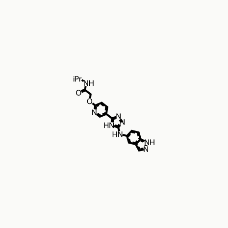 CC(C)NC(=O)COc1ccc(-c2nnc(Nc3ccc4[nH]ncc4c3)[nH]2)cn1